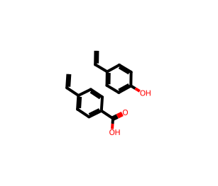 C=Cc1ccc(C(=O)O)cc1.C=Cc1ccc(O)cc1